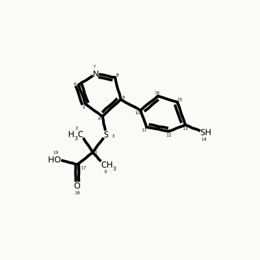 CC(C)(Sc1c#cncc1-c1ccc(S)cc1)C(=O)O